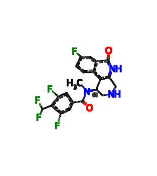 CN(C(=O)c1cc(F)c(C(F)F)c(F)c1)[C@@H]1CNCc2[nH]c(=O)c3cc(F)ccc3c21